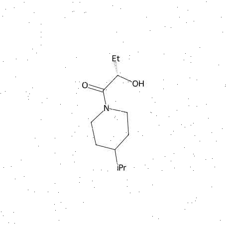 CC[C@H](O)C(=O)N1CCC(C(C)C)CC1